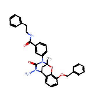 CC12CC(c3cccc(OCc4ccccc4)c3O1)N(N)C(=O)N2c1cccc(C(=O)NCCc2ccccc2)c1